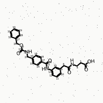 O=C(O)CCNC(=O)Cc1cccc(NC(=O)c2ccc(CNC(=O)OCc3ccccc3)cc2)c1